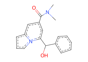 CN(C)C(=O)c1cc(C(O)c2ccccc2)n2cccc2c1